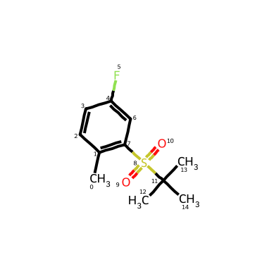 Cc1ccc(F)cc1S(=O)(=O)C(C)(C)C